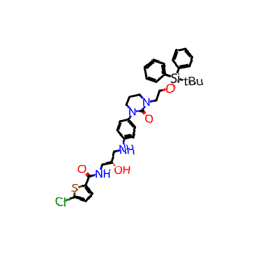 CC(C)(C)[Si](OCCN1CCCN(c2ccc(NC[C@H](O)CNC(=O)c3ccc(Cl)s3)cc2)C1=O)(c1ccccc1)c1ccccc1